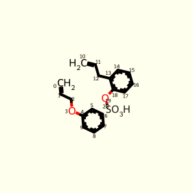 C=CCOc1ccccc1.C=CCc1ccccc1OS(=O)(=O)O